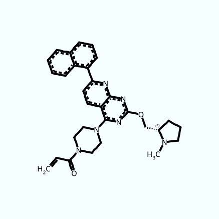 C=CC(=O)N1CCN(c2nc(OC[C@@H]3CCCN3C)nc3nc(-c4cccc5ccccc45)ccc23)CC1